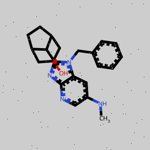 CNc1cnc2nc(C3C4CCC3CC(O)C4)n(Cc3ccccc3)c2c1